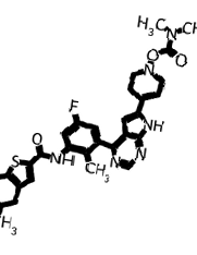 Cc1c(NC(=O)c2cc3c(s2)CCC(C)C3)cc(F)cc1-c1ncnc2[nH]c(C3=CCN(OC(=O)N(C)C)CC3)cc12